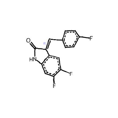 O=C1Nc2cc(F)c(F)cc2/C1=C\c1ccc(F)cc1